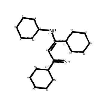 S=C(C=C(NC1CCCCC1)C1CCCCC1)C1CCCCC1